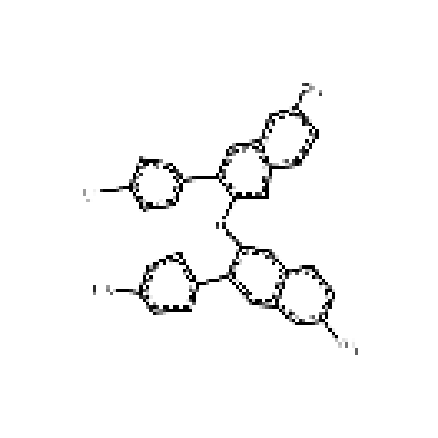 Cc1ccc(-c2cc3cc(C)ccc3cc2Oc2cc3ccc(C)cc3cc2-c2ccc(C)cc2)cc1